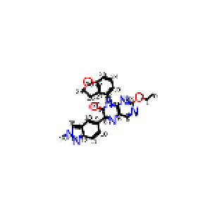 CCOc1ncc2nc(-c3ccc4nn(C)cc4c3)c(=O)n(-c3cccc4c3CCO4)c2n1